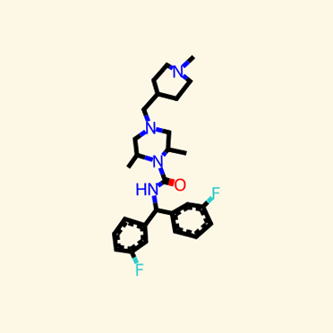 CC1CN(CC2CCN(C)CC2)CC(C)N1C(=O)NC(c1cccc(F)c1)c1cccc(F)c1